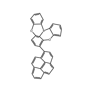 c1ccc2c(c1)Oc1ccc(-c3ccc4ccc5cccc6ccc3c4c56)c3c1B2c1ccccc1O3